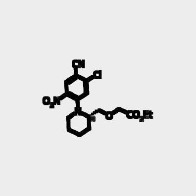 CCOC(=O)COC[C@@H]1CCCCN1c1cc(Cl)c(C#N)cc1[N+](=O)[O-]